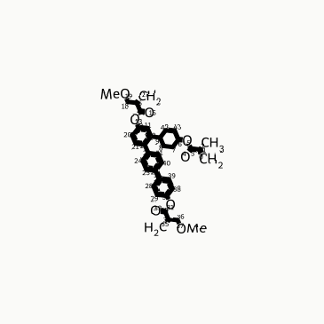 C=C(C)C(=O)OC1CCC(c2cc(OC(=O)C(=C)COC)ccc2-c2ccc(-c3ccc(OC(=O)C(=C)COC)cc3)cc2)CC1